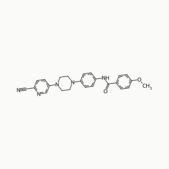 COc1ccc(C(=O)Nc2ccc(N3CCN(c4ccc(C#N)nc4)CC3)cc2)cc1